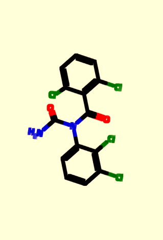 NC(=O)N(C(=O)c1c(Cl)cccc1Cl)c1cccc(Cl)c1Cl